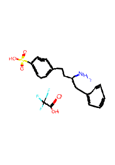 NC(CCc1ccc(S(=O)(=O)O)cc1)Cc1ccccc1.O=C(O)C(F)(F)F